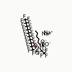 CCCCCCN(C(F)(OP(=O)([O-])[O-])C(F)(F)F)S(=O)(=O)C(F)(F)C(F)(F)C(F)(F)C(F)(F)C(F)(F)C(F)(F)C(F)(F)C(F)(F)C(F)(F)C(F)(F)F.[Na+].[Na+]